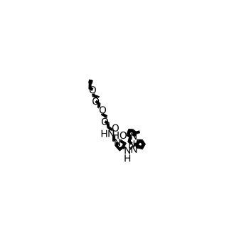 C#CCOCCOCCOCCOCCC(=O)NCCN1CCC(Nc2nc3ccccc3n2Cc2nc(C)ccc2O)CC1